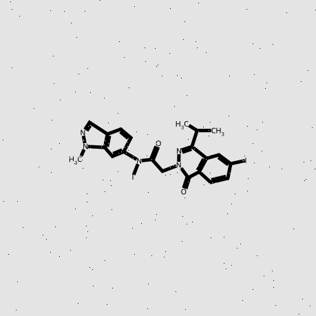 CC(C)c1nn(CC(=O)N(I)c2ccc3cnn(C)c3c2)c(=O)c2ccc(I)cc12